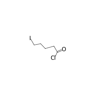 O=C(Cl)CCCCI